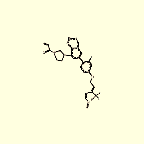 C=CC(=O)N1CCC(c2cc(-c3ccc(OC/C=C(\C=C/N=C)C(F)(F)F)cc3F)cc3cncnc23)C1